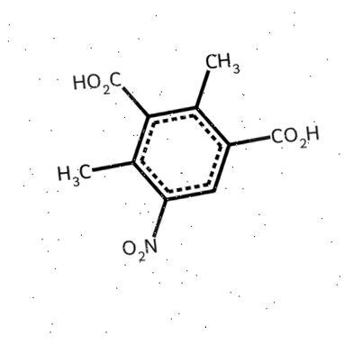 Cc1c(C(=O)O)cc([N+](=O)[O-])c(C)c1C(=O)O